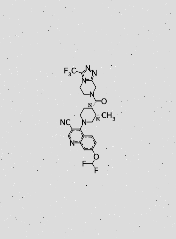 C[C@@H]1CN(c2c(C#N)cnc3cc(OC(F)F)ccc23)CC[C@@H]1C(=O)N1CCn2c(nnc2C(F)(F)F)C1